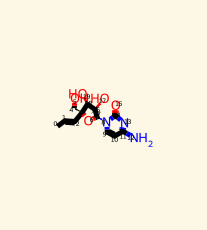 CC=C[C@]1(CO)O[C@@H](n2ccc(N)nc2=O)[C@H](O)[C@@H]1O